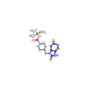 CC(C)(C)OC(=O)N1CCC(Cn2c(=O)[nH]c3cnc(Cl)cc32)CC1